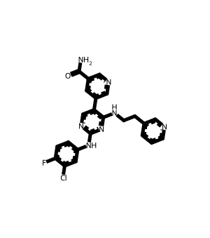 NC(=O)c1cncc(-c2cnc(Nc3ccc(F)c(Cl)c3)nc2NCCc2cccnc2)c1